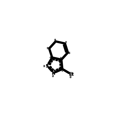 CCc1nsc2c1C=CCC2